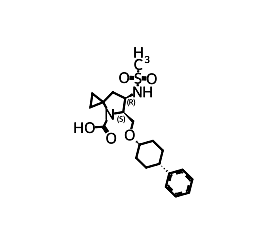 CS(=O)(=O)N[C@@H]1CC2(CC2)N(C(=O)O)[C@@H]1CO[C@H]1CC[C@@H](c2ccccc2)CC1